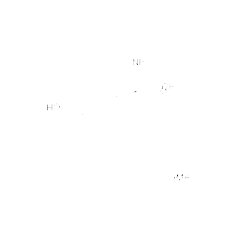 COc1ccc(C2(CC(C)(C)O)C(=O)Nc3ccccc32)c(O)c1